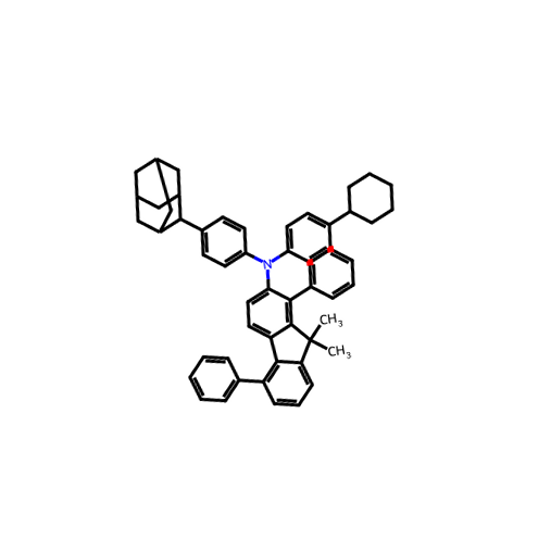 CC1(C)c2cccc(-c3ccccc3)c2-c2ccc(N(c3ccc(C4CCCCC4)cc3)c3ccc(C4C5CC6CC(C5)CC4C6)cc3)c(-c3ccccc3)c21